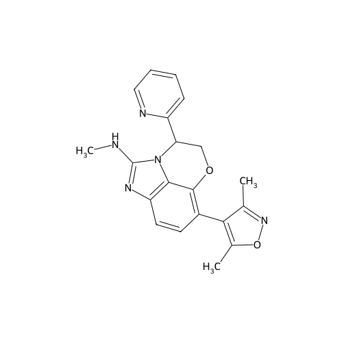 CNc1nc2ccc(-c3c(C)noc3C)c3c2n1C(c1ccccn1)CO3